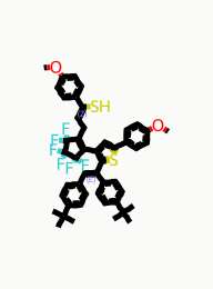 COc1ccc(/C(S)=C/CC2=C(c3cc(-c4ccc(OC)cc4)sc3/C(=C/c3ccc(C(C)(C)C)cc3)c3ccc(C(C)(C)C)cc3)C(F)(F)C(F)(F)C2(F)F)cc1